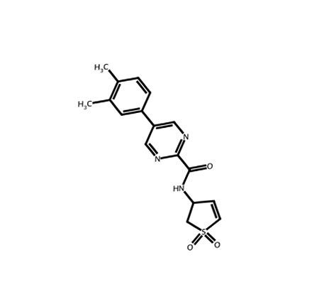 Cc1ccc(-c2cnc(C(=O)NC3C=CS(=O)(=O)C3)nc2)cc1C